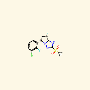 O=S(=O)(C1=NN2C(N1)[C@@H](F)C[C@H]2c1cccc(Cl)c1F)C1CC1